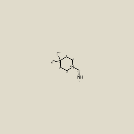 N=CN1CCC(F)(F)CC1